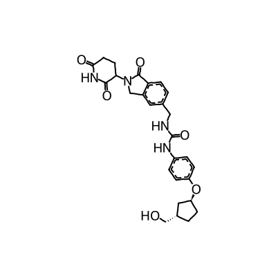 O=C1CCC(N2Cc3cc(CNC(=O)Nc4ccc(O[C@H]5CC[C@H](CO)C5)cc4)ccc3C2=O)C(=O)N1